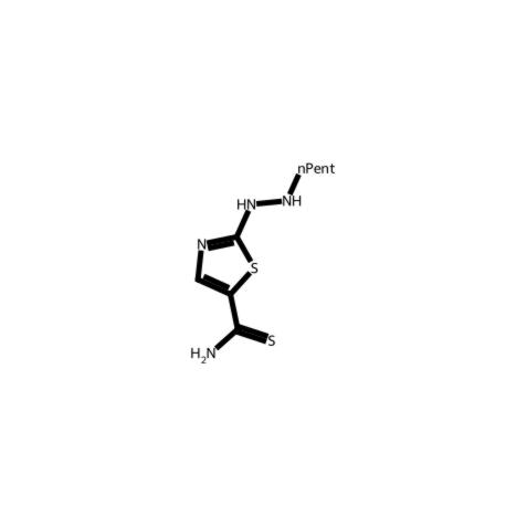 CCCCCNNc1ncc(C(N)=S)s1